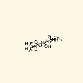 CNC(=O)OCC(O)COC(=O)NC(C)C